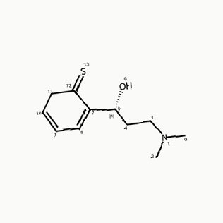 CN(C)CC[C@@H](O)C1=CC=CCC1=S